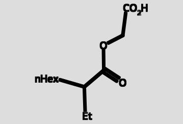 CCCCCCC(CC)C(=O)OCC(=O)O